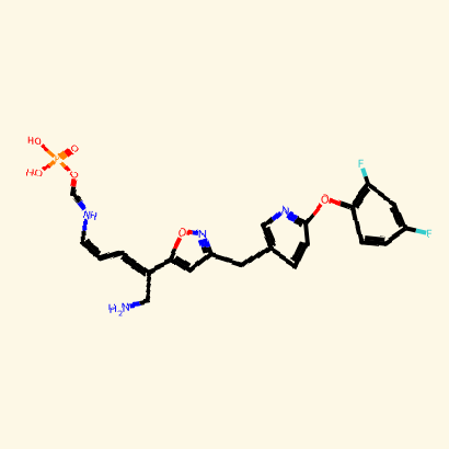 NC/C(=C\C=C/NCOP(=O)(O)O)c1cc(Cc2ccc(Oc3ccc(F)cc3F)nc2)no1